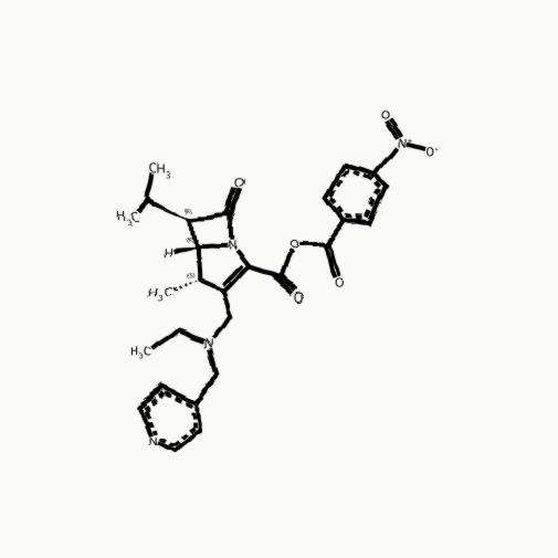 CCN(CC1=C(C(=O)OC(=O)c2ccc([N+](=O)[O-])cc2)N2C(=O)[C@H](C(C)C)[C@H]2[C@H]1C)Cc1ccncc1